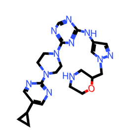 c1nc(Nc2cnn(CC3CNCCO3)c2)nc(N2CCN(c3ncc(C4CC4)cn3)CC2)n1